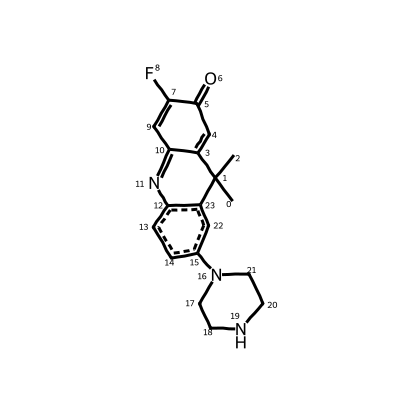 CC1(C)C2=CC(=O)C(F)=CC2=Nc2ccc(N3CCNCC3)cc21